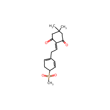 CC1(C)CC(=O)C(=CCC2=CCC(S(C)(=O)=O)C=C2)C(=O)C1